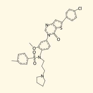 COc1cc(-n2cnc3cc(-c4ccc(Cl)cc4)sc3c2=O)ccc1N(CCCN1CCCC1)S(=O)(=O)c1ccc(C)cc1